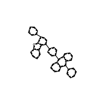 c1ccc(-c2c3ccccc3c(-c3ccc(-c4ccc(-c5ccccc5)c5oc6ccccc6c45)cc3)c3ccccc23)cc1